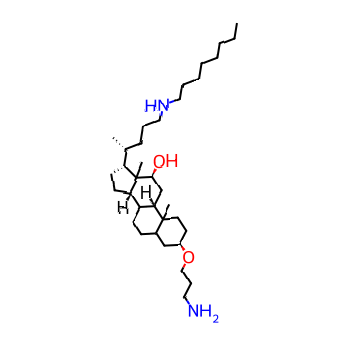 CCCCCCCCNCCC[C@@H](C)[C@H]1CC[C@H]2C3CCC4C[C@H](OCCCN)CCC4(C)[C@H]3C[C@H](O)C12C